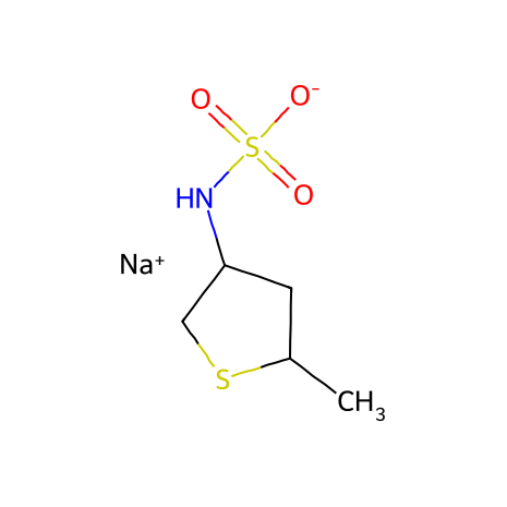 CC1CC(NS(=O)(=O)[O-])CS1.[Na+]